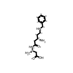 CN(CC(=O)O)NC(=O)C[C@@H](N)CCNCc1ccccc1